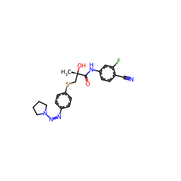 C[C@](O)(CSc1ccc(/N=N\N2CCCC2)cc1)C(=O)Nc1ccc(C#N)c(F)c1